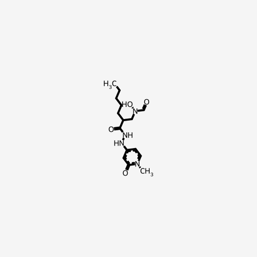 CCCCCC(CN(O)C=O)C(=O)NNc1ccn(C)c(=O)c1